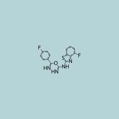 N=C(Nc1nc2c(F)cccc2s1)OC(=N)c1ccc(F)cc1